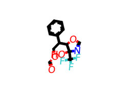 O=COCC(c1ccccc1)C1OC=NC1(O)C(F)(F)F